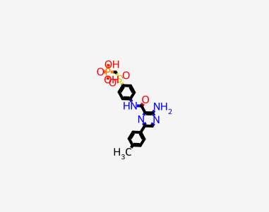 Cc1ccc(-c2cnc(N)c(C(=O)Nc3ccc(S(=O)(=O)CP(=O)(O)O)cc3)n2)cc1